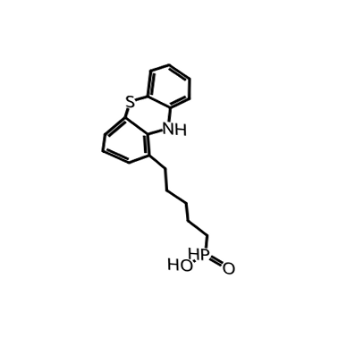 O=[PH](O)CCCCCc1cccc2c1Nc1ccccc1S2